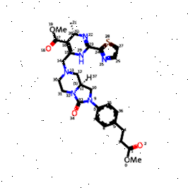 COC(=O)CCc1ccc(N2C[C@@H]3CN(CC4=C(C(=O)OC)[C@H](C)N=C(c5nccs5)N4)CCN3C2=O)cc1